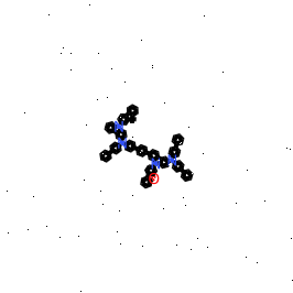 CC1(C)c2ccccc2-c2ccc(-n3c4ccccc4c4cc(N(c5ccc(-c6ccccc6)cc5)c5ccc(-c6ccc(C7=CC8C(C=C7)c7cc(N(c9ccc(-c%10ccccc%10)cc9)c9ccc(-c%10ccccc%10)cc9)ccc7N8c7ccc8c(c7)oc7ccccc78)cc6)cc5)ccc43)cc21